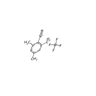 Cc1cc(C)c([N+]#N)c(C)c1.F[B-](F)(F)F